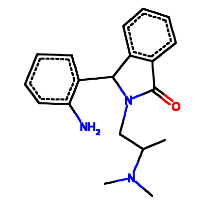 CC(CN1C(=O)c2ccccc2C1c1ccccc1N)N(C)C